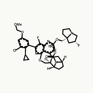 COCOc1cc(Cl)c(C2CC2)c(-c2nc3c4c(nc(OC[C@]56CCCN5C[C@H](F)C6)nc4c2F)N2C[C@@H]4CC[C@H]([C@H]2CO3)N4C(=O)OC(C)(C)C)c1